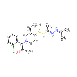 COC(=O)C(c1ccccc1Cl)N1CCC(SS/C(C)=N/N=C(C)C)/C(=C\C(=O)O)C1